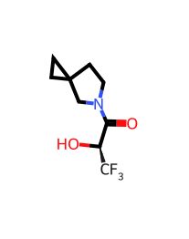 O=C([C@H](O)C(F)(F)F)N1CCC2(CC2)C1